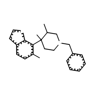 CC1CN(Cc2ccccc2)CCC1(O)c1c(C(F)(F)F)ccc2ccoc12